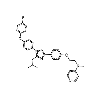 CC(C)Cc1nc(-c2ccc(OCCN(C)c3ccncc3)cc2)cn1-c1ccc(Oc2ccc(F)cc2)cc1